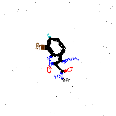 CCCNC(=O)c1c(N)c2ccc(F)c(Br)c2n[n+]1[O-]